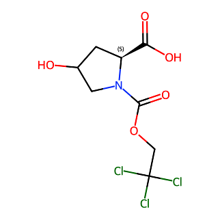 O=C(O)[C@@H]1CC(O)CN1C(=O)OCC(Cl)(Cl)Cl